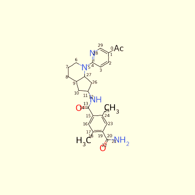 CC(=O)c1ccc(N2CCCC3CC(NC(=O)c4cc(C)c(C(N)=O)cc4C)CC32)nc1